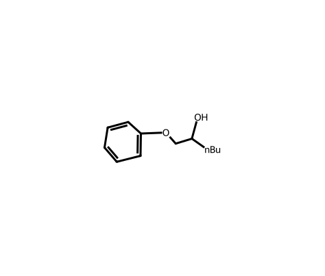 CCCCC(O)COc1ccccc1